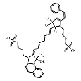 [2H]C1(/C=C/C=C/C=C/C=C2/N(CCCCS(=O)(=O)O)c3ccc4ccccc4c3C2(C)C)N(CCCCS(=O)(=O)O)c2ccc3ccccc3c2C1(C)C